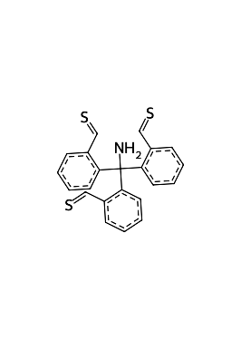 NC(c1ccccc1C=S)(c1ccccc1C=S)c1ccccc1C=S